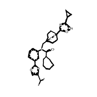 O=C(C1CCCCC1)N(CC12CCC(c3nc(C4CC4)no3)(CC1)CC2)c1cccc(-c2nc(C(F)F)co2)c1